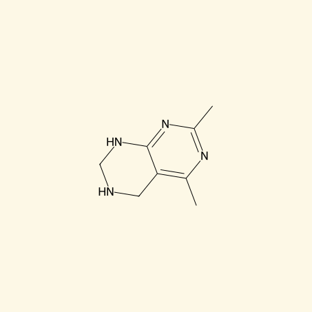 Cc1nc(C)c2c(n1)NCNC2